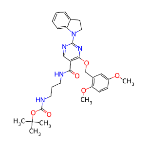 COc1ccc(OC)c(COc2nc(N3CCc4ccccc43)ncc2C(=O)NCCCNC(=O)OC(C)(C)C)c1